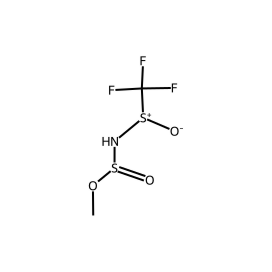 COS(=O)N[S+]([O-])C(F)(F)F